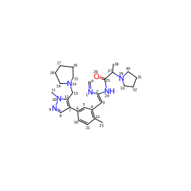 C=N/C(=C\c1cc(-c2cnn(C)c2CN2CCCCC2)ccc1C)NC(=O)C(C)N1CCCC1